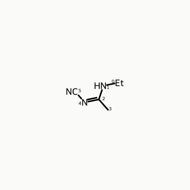 CCN/C(C)=N\C#N